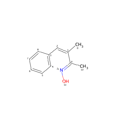 CC(=Cc1ccccc1)C(C)=NO